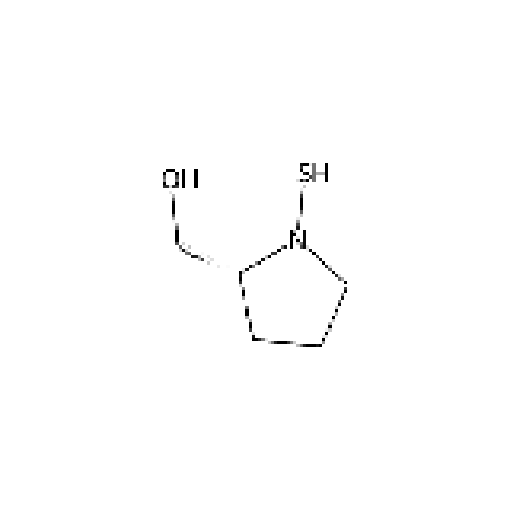 OC[C@H]1CCCN1S